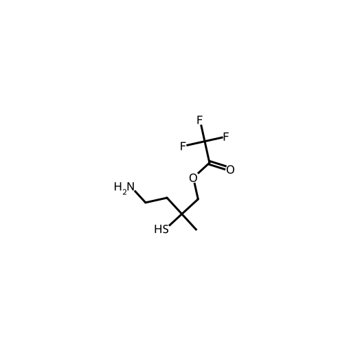 CC(S)(CCN)COC(=O)C(F)(F)F